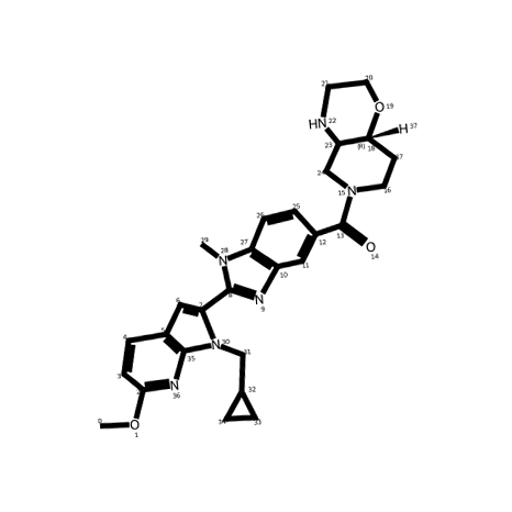 COc1ccc2cc(-c3nc4cc(C(=O)N5CC[C@H]6OCCNC6C5)ccc4n3C)n(CC3CC3)c2n1